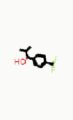 CC(C)C(O)c1ccc(C(F)F)cc1